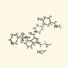 COCCn1cc(C(=O)N2CCC(c3cc(CN)ccc3F)CC2)c2c(NS(=O)(=O)c3cccnc3)cccc21.Cl